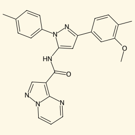 COc1cc(-c2cc(NC(=O)c3cnn4cccnc34)n(-c3ccc(C)cc3)n2)ccc1C